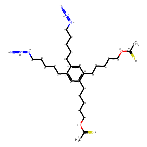 CC(=S)OCCCCCc1cc(CCCCCN=[N+]=[N-])c(CCCCCN=[N+]=[N-])cc1CCCCCOC(C)=S